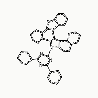 c1ccc(-c2nc(-c3ccccc3)nc(-n3c4ccc5ccccc5c4c4c5c6ccccc6sc5c5ccccc5c43)n2)cc1